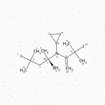 B[C@](C)(CC(C)(C)I)N(C(=C)C(C)(C)I)C1CC1